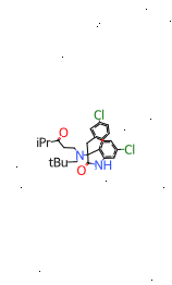 CC(C)C(=O)CCN(CC(C)(C)C)C1(Cc2cccc(Cl)c2)C(=O)Nc2cc(Cl)ccc21